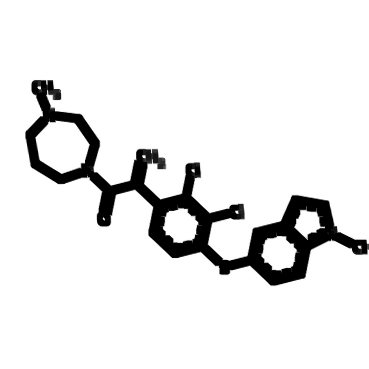 C=C(C(=O)N1CCCN(C)CC1)c1ccc(Sc2ccc3c(ccn3C)c2)c(Cl)c1Cl